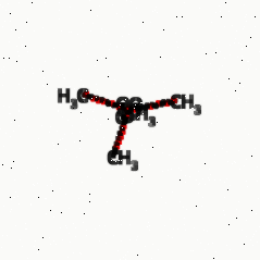 CCCCCCCCCCCCCCCC(=O)OCC(C)(COC(=O)CCCCCCCCCCCCCCC)COC(=O)CCCCCCCCCCCCCCC